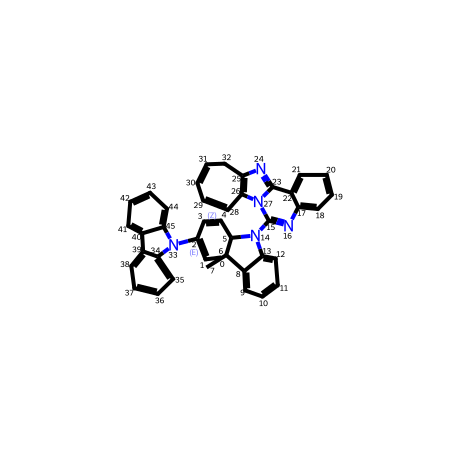 C/C=C(\C=C/C1C(C)c2ccccc2N1c1nc2ccccc2c2nc3c(n12)C=CC=CC3)n1c2ccccc2c2ccccc21